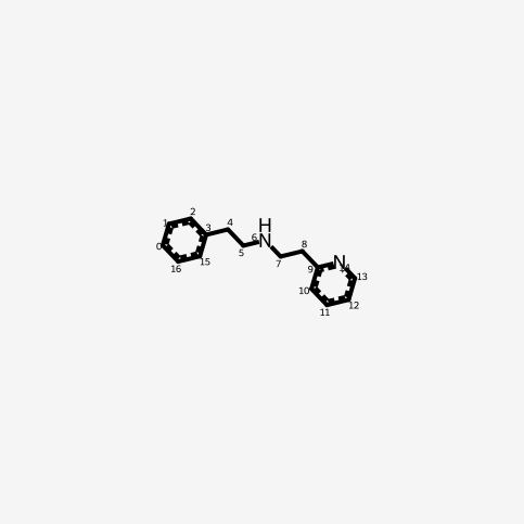 c1ccc(CCNCCc2ccccn2)cc1